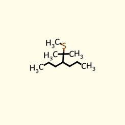 CCCC(CCC)C(C)(C)SC